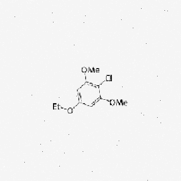 [CH2]COc1cc(OC)c(Cl)c(OC)c1